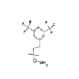 CC(C)(CCc1cc(C(F)(F)F)cc(C(F)(F)F)c1)O[SiH3]